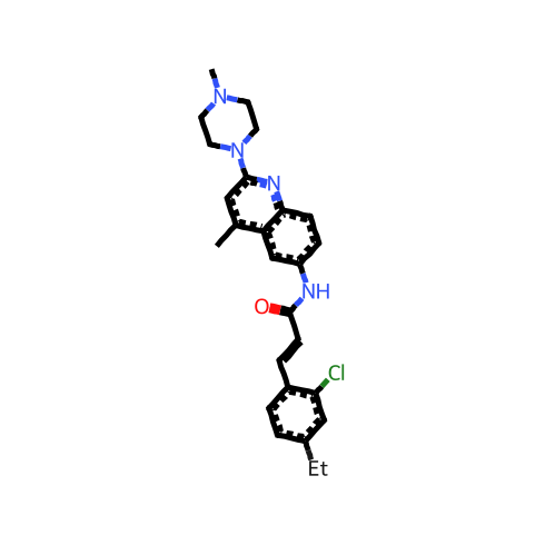 CCc1ccc(C=CC(=O)Nc2ccc3nc(N4CCN(C)CC4)cc(C)c3c2)c(Cl)c1